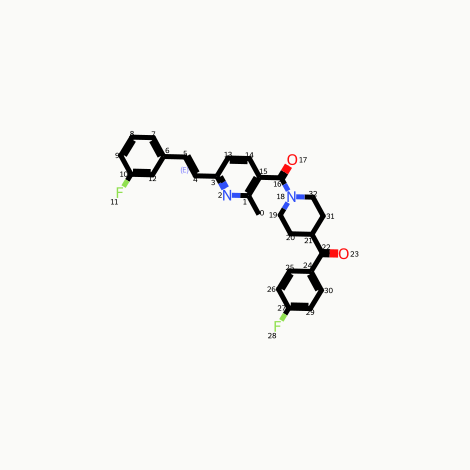 Cc1nc(/C=C/c2cccc(F)c2)ccc1C(=O)N1CCC(C(=O)c2ccc(F)cc2)CC1